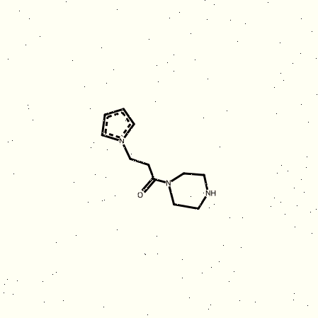 O=C(CCn1cccc1)N1CCNCC1